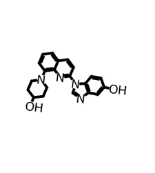 Oc1ccc2c(c1)ncn2-c1ccc2cccc(N3CCC(O)CC3)c2n1